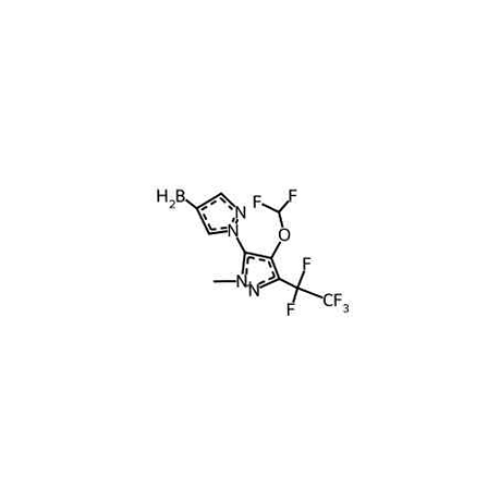 Bc1cnn(-c2c(OC(F)F)c(C(F)(F)C(F)(F)F)nn2C)c1